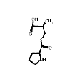 CC(CSC(=O)C1CCCN1)C(=O)O